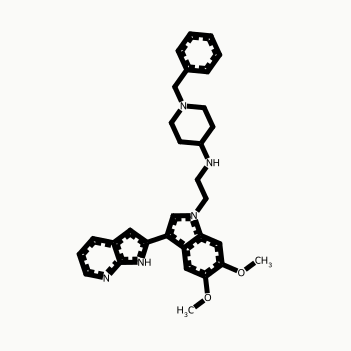 COc1cc2c(-c3cc4cccnc4[nH]3)cn(CCNC3CCN(Cc4ccccc4)CC3)c2cc1OC